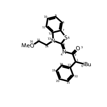 CCC(C)C(C(=O)/N=c1\sc2ccccc2n1CCOC)c1ccccc1